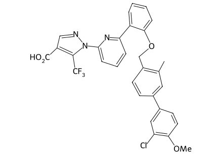 COc1ccc(-c2ccc(COc3ccccc3-c3cccc(-n4ncc(C(=O)O)c4C(F)(F)F)n3)c(C)c2)cc1Cl